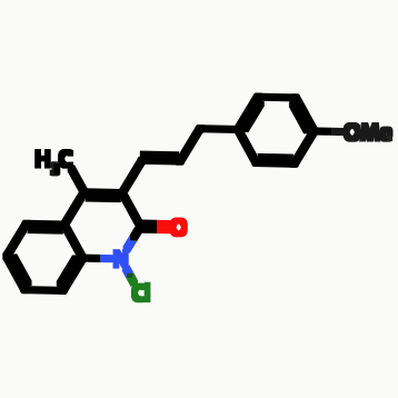 COc1ccc(CC=Cc2c(C)c3ccccc3n(Cl)c2=O)cc1